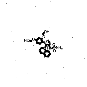 NS(=O)(=O)Nc1nnn(-c2ccc(OCO)cc2OCO)c1-c1cccc2ccccc12